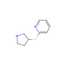 c1ccc(SC2CC[N]C2)nc1